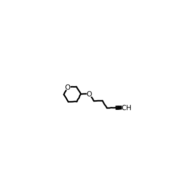 C#CCCCOC1CCCOC1